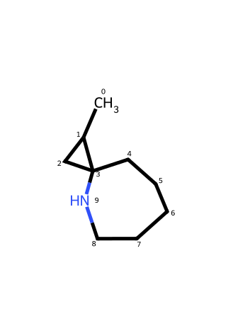 CC1CC12CCCCCN2